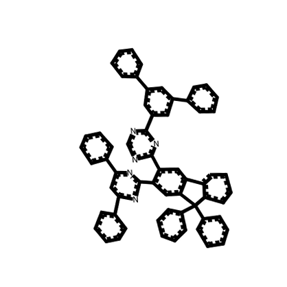 c1ccc(-c2cc(-c3ccccc3)cc(-c3ncnc(-c4cc5c(cc4-c4nc(-c6ccccc6)cc(-c6ccccc6)n4)C(c4ccccc4)(c4ccccc4)c4ccccc4-5)n3)c2)cc1